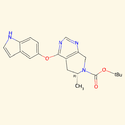 C[C@@H]1Cc2c(ncnc2Oc2ccc3[nH]ccc3c2)CN1C(=O)OC(C)(C)C